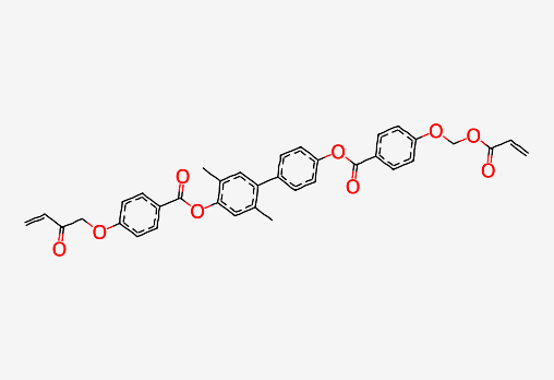 C=CC(=O)COc1ccc(C(=O)Oc2cc(C)c(-c3ccc(OC(=O)c4ccc(OCOC(=O)C=C)cc4)cc3)cc2C)cc1